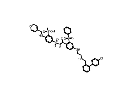 C[N+]([O-])(O)c1cc(S(=O)(=O)NC(=O)c2ccc(NCCNCc3ccccc3-c3ccc(Cl)cc3)cc2S(=O)(=O)c2ccccc2)ccc1NCC1=CCOC=C1